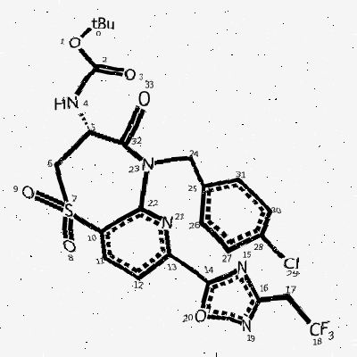 CC(C)(C)OC(=O)N[C@H]1CS(=O)(=O)c2ccc(-c3nc(CC(F)(F)F)no3)nc2N(Cc2ccc(Cl)cc2)C1=O